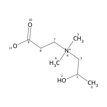 CC(O)C[N+](C)(C)CCC(=O)[O-]